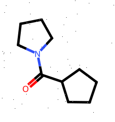 O=C(C1CCCC1)N1CCCC1